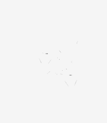 C=CCOC(=O)N1c2cc(O)c(OC)cc2C(=O)N2Cc3ccccc3[C@H]2C1O